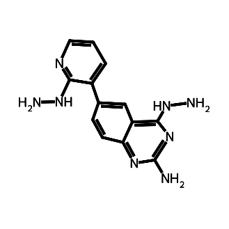 NNc1ncccc1-c1ccc2nc(N)nc(NN)c2c1